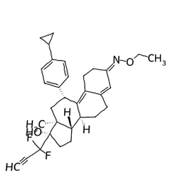 C#CC(F)(F)[C@]1(O)CC[C@H]2[C@@H]3CCC4=CC(=NOCC)CCC4=C3[C@@H](c3ccc(C4CC4)cc3)C[C@@]21C